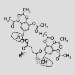 CC(=O)Oc1cc(C[N+]2(C)C3CCC2CC(OC(=O)CCC(=O)OC2CC4CCC(C2)[N+]4(C)Cc2cc(OC(C)=O)c(OC(C)=O)c(OC(C)=O)c2)C3)cc(OC(C)=O)c1OC(C)=O.[Br-].[Br-]